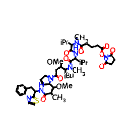 CCC(C)C(C(CC(=O)N1CCCC1C(OC)C(C)C(=O)NC(Cc1ccccc1)c1nccs1)OC)N(C)C(=O)C(NC(=O)C(C(C)C)N(C)C(=O)CCCC(=O)ON1C(=O)CCC1=O)C(C)C